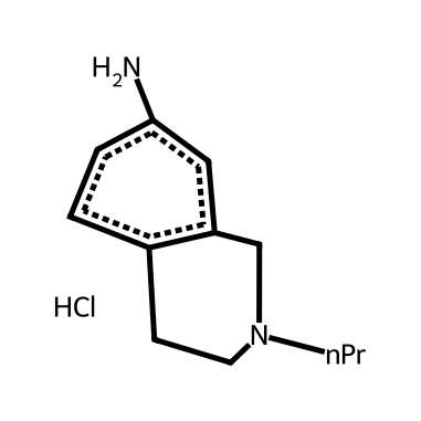 CCCN1CCc2ccc(N)cc2C1.Cl